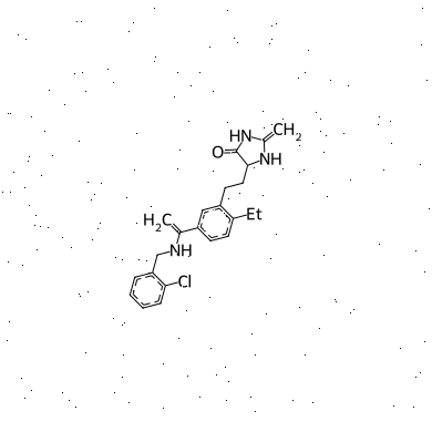 C=C1NC(=O)C(CCc2cc(C(=C)NCc3ccccc3Cl)ccc2CC)N1